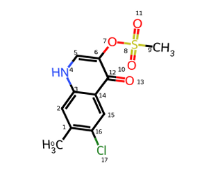 Cc1cc2[nH]cc(OS(C)(=O)=O)c(=O)c2cc1Cl